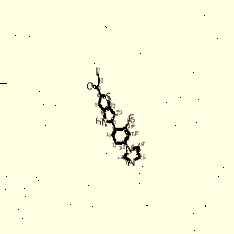 O=C(CI)c1cc2[nH]c(-c3ccc(-n4ccnc4)cc3F)cc2s1